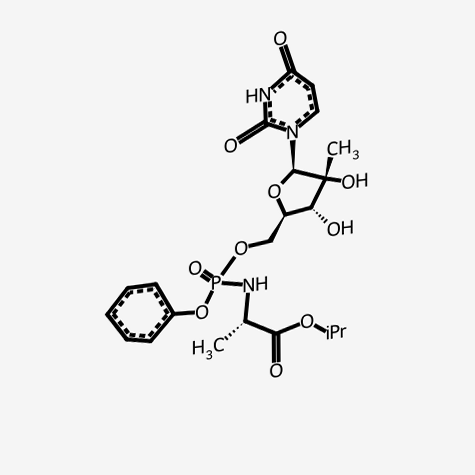 CC(C)OC(=O)[C@H](C)NP(=O)(OC[C@H]1O[C@@H](n2ccc(=O)[nH]c2=O)[C@](C)(O)[C@@H]1O)Oc1ccccc1